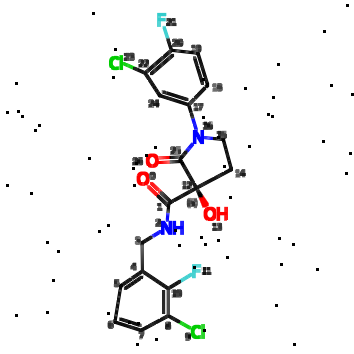 O=C(NCc1cccc(Cl)c1F)[C@@]1(O)CCN(c2ccc(F)c(Cl)c2)C1=O